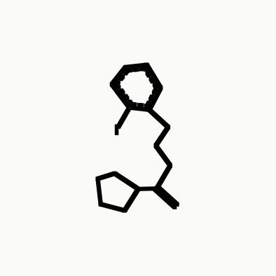 C=C(CCCc1ccccc1I)C1CCCC1